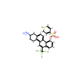 NC1CCc2c(ccc3c2cc(C(F)(F)F)c2ccccc23)C1.O=S(=O)(O)C1=CCSC=C1